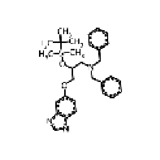 CC(C)(C)[Si](C)(C)OC(COc1ccc2[nH]cnc2c1)CN(Cc1ccccc1)Cc1ccccc1